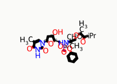 Cc1cn([C@H]2C[C@H](O)[C@@H](CO[P@@](=O)(N[C@@](C)(C=O)CO[C@@H](C)C(=O)C(C)C)Oc3ccccc3)O2)c(=O)[nH]c1=O